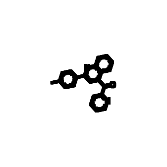 Cc1ccc(-c2cc(C(=O)c3ccccn3)c3ccccc3n2)cc1